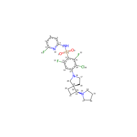 O=S(=O)(Nc1cccc(F)n1)c1c(F)cc(N2CC[C@@]3(CC[C@@H]3N3CCCC3)C2)c(Cl)c1F